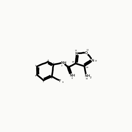 N=C(Nc1ccccc1F)c1nonc1N